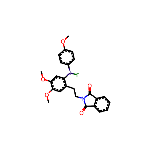 COc1ccc(I(F)c2cc(OC)c(OC)cc2CCN2C(=O)c3ccccc3C2=O)cc1